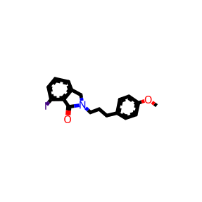 COc1ccc(CCCN2Cc3cccc(I)c3C2=O)cc1